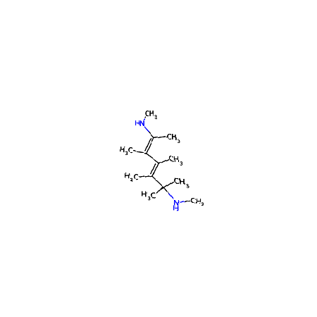 CN/C(C)=C(C)/C(C)=C(\C)C(C)(C)NC